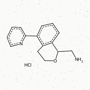 Cl.NCC1OCCc2c(-c3ccccn3)cccc21